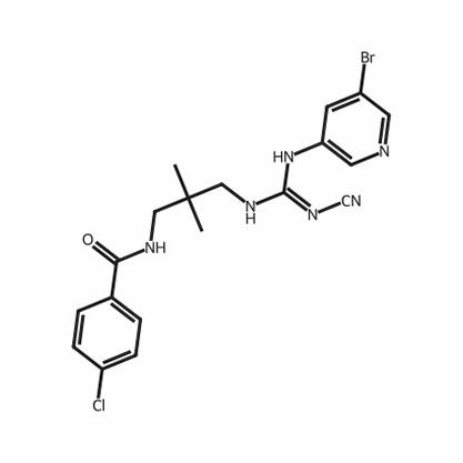 CC(C)(CNC(=O)c1ccc(Cl)cc1)CNC(=NC#N)Nc1cncc(Br)c1